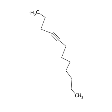 [CH2]CCC#CCCCCCCC